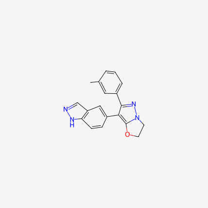 Cc1cccc(-c2nn3c(c2-c2ccc4[nH]ncc4c2)OCC3)c1